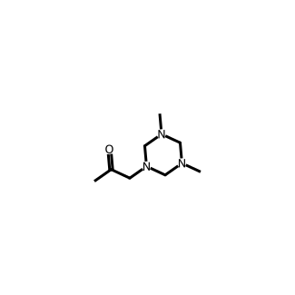 CC(=O)CN1CN(C)CN(C)C1